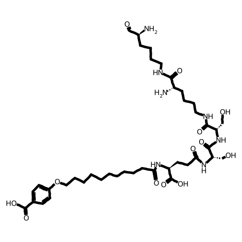 N[C@H](C=O)CCCCNC(=O)[C@@H](N)CCCCNC(=O)[C@H](CO)NC(=O)[C@H](CO)NC(=O)CC[C@H](NC(=O)CCCCCCCCCCOc1ccc(C(=O)O)cc1)C(=O)O